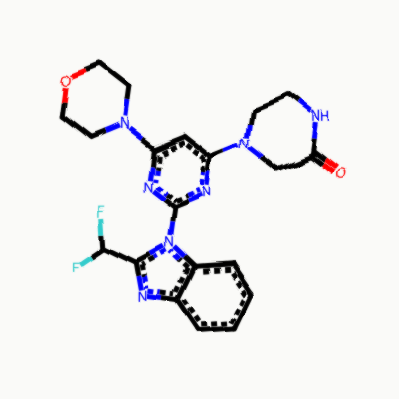 O=C1CN(c2cc(N3CCOCC3)nc(-n3c(C(F)F)nc4ccccc43)n2)CCN1